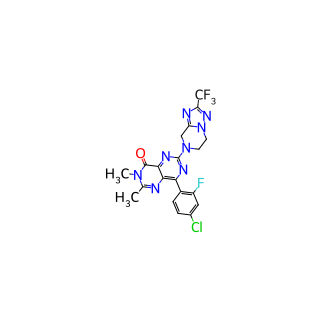 Cc1nc2c(-c3ccc(Cl)cc3F)nc(N3CCn4nc(C(F)(F)F)nc4C3)nc2c(=O)n1C